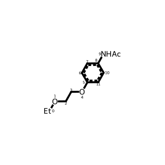 CCOCCOc1ccc(NC(C)=O)cc1